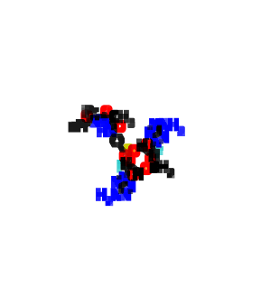 B[P@@]1OC[C@H]2O[C@@H](n3cnc4c(N)ncnc43)[C@H](F)[C@@H]2OP(=O)(SCc2ccc(NC(=O)[C@H](C)NC(=O)C(NC(=O)CCC)C(C)C)cc2)OC[C@H]2O[C@@H](n3cnc4c(N)ncnc43)[C@H](F)[C@@H]2O1